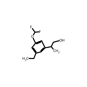 [CH2]C(CO)c1cc(CC)cc(OC(F)F)c1